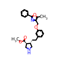 COC(=O)[C@@H]1CNC[C@H]1CCc1cccc(OCc2nc(-c3ccccc3)oc2C)c1